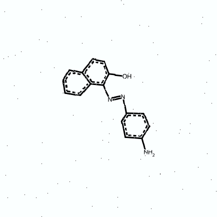 Nc1ccc(N=Nc2c(O)ccc3cc[c]cc23)cc1